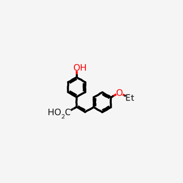 CCOc1ccc(C=C(C(=O)O)c2ccc(O)cc2)cc1